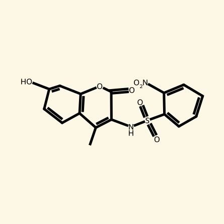 Cc1c(NS(=O)(=O)c2ccccc2[N+](=O)[O-])c(=O)oc2cc(O)ccc12